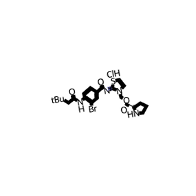 CC(C)(C)CC(=O)Nc1ccc(C(=O)/N=c2\sccn2COC(=O)[C@@H]2CCCN2)cc1Br.Cl